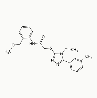 CCn1c(SCC(=O)Nc2ccccc2COC)nnc1-c1cccc(C)c1